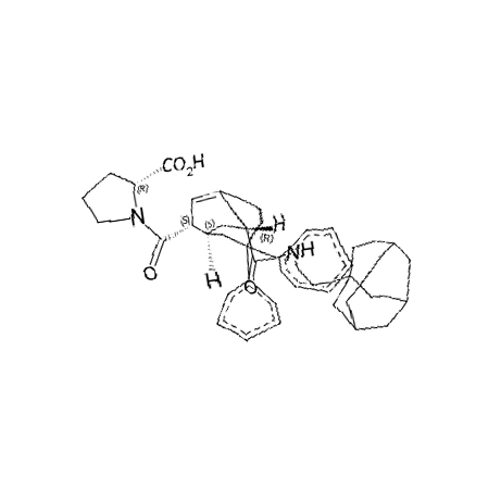 O=C(NCC12CC3CC(CC(C3)C1)C2)[C@H]1C2=C[C@@H](C(=O)N3CCC[C@@H]3C(=O)O)[C@@H]1C(c1ccccc1)(c1ccccc1)C2